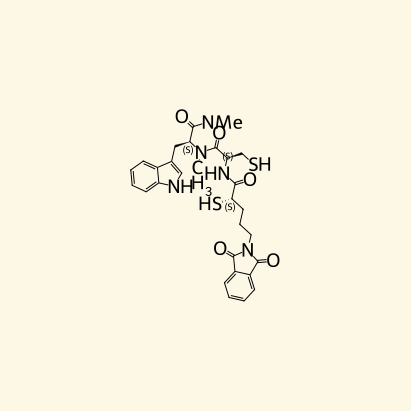 CNC(=O)[C@H](Cc1c[nH]c2ccccc12)N(C)C(=O)[C@@H](CS)NC(=O)[C@@H](S)CCCN1C(=O)c2ccccc2C1=O